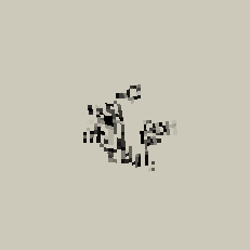 Cc1nc(N)ccc1CNC(=O)C(C)NC(=O)c1cc(Cc2ccccc2)c[nH]1.O=C(O)C(F)(F)F